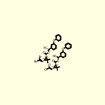 CC1(C)[C@H](C(=O)OC(C#N)c2cccc(Oc3ccccc3)c2)[C@@H]1C=C(Cl)Cl.CC1(C)[C@H](C(=O)O[C@H](C#N)c2cccc(Oc3ccccc3)c2)[C@@H]1C=C(Br)Br